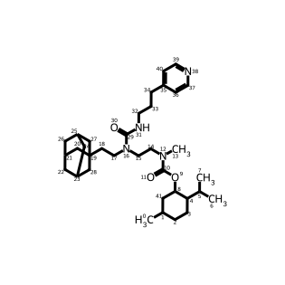 CC1CCC(C(C)C)C(OC(=O)N(C)CCN(CCC23CC4CC(CC(C4)C2)C3)C(=O)NCCCc2ccncc2)C1